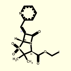 CC1(C)[C@H](C(=O)OCI)N2C(=O)/C(=C\c3ccccn3)[C@H]2S1(=O)=O